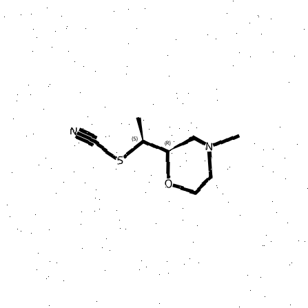 C[C@H](SC#N)[C@H]1CN(C)CCO1